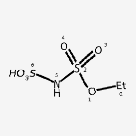 CCOS(=O)(=O)NS(=O)(=O)O